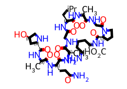 CC(C)C[C@H](NC(=O)CNC(=O)[C@H](C)NC(=O)[C@H](CCC(N)=O)NC(=O)[C@H](C)NC(=O)[C@@H]1C[C@@H](O)CN1)C(=O)N[C@@H](C)C(=O)NCC(=O)N1CCC[C@H]1C(=O)N[C@@H](CCCCN)C(=O)O